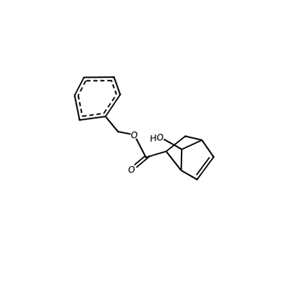 O=C(OCc1ccccc1)C1CC2C=CC1C2O